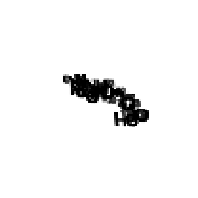 Cc1nsc(NC(=O)N2CCC(=Cc3ccc(C(=O)O)cc3)CC2)n1